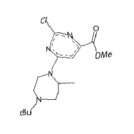 COC(=O)c1cc(N2CCN(C(C)(C)C)CC2C)nc(Cl)n1